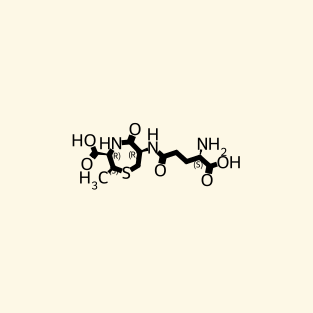 C[C@@H]1SC[C@H](NC(=O)CC[C@H](N)C(=O)O)C(=O)N[C@@H]1C(=O)O